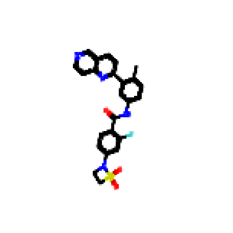 Cc1ccc(NC(=O)c2ccc(N3CCS3(=O)=O)cc2F)cc1-c1ccc2cnccc2n1